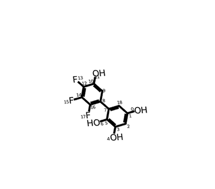 Oc1cc(O)c(O)c(-c2cc(O)c(F)c(F)c2F)c1